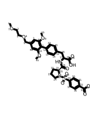 COCCOCc1cc(OC)c(-c2ccc(CC(NC(=O)[C@@H]3CCCN3S(=O)(=O)c3ccc(C(=O)O)cc3)C(=O)O)cc2)c(OC)c1